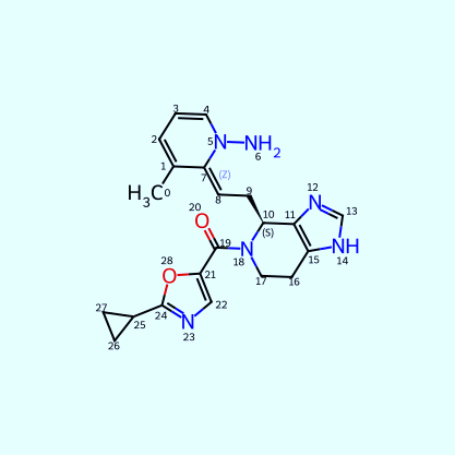 CC1=CC=CN(N)/C1=C\C[C@H]1c2nc[nH]c2CCN1C(=O)c1cnc(C2CC2)o1